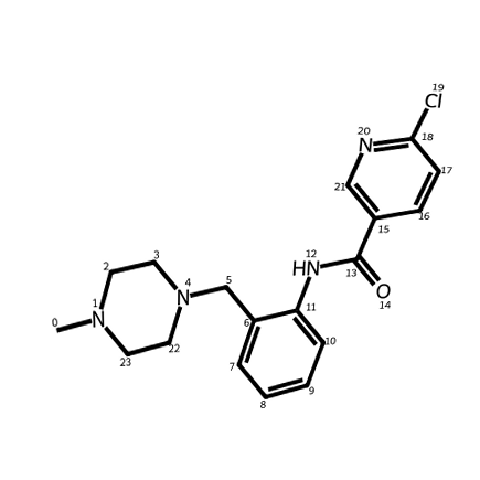 CN1CCN(Cc2ccccc2NC(=O)c2ccc(Cl)nc2)CC1